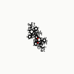 CCC(I)C(=O)OC1(C)CC2(C3(O)CCCC3)CC(C3(O)CCC(OC4(C56CCCC(C7(O)CCCC7)(CC(C)(OC(=O)C(I)CC)C5)C6)CCCC4)C3)CC(C3(O)CCCC3)(C1)C2